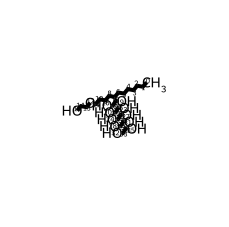 CCCCCCCCCCCCOCCO.OCCO.OCCO.OCCO.OCCO.OCCO